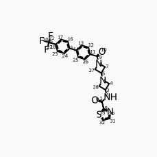 O=C(NC1CN(C2CN(C(=O)c3ccc(-c4ccc(C(F)(F)F)cc4)cc3)C2)C1)c1nccs1